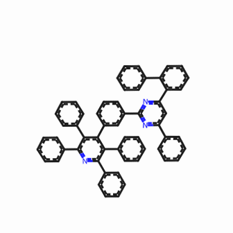 c1ccc(-c2cc(-c3ccccc3-c3ccccc3)nc(-c3cccc(-c4c(-c5ccccc5)c(-c5ccccc5)nc(-c5ccccc5)c4-c4ccccc4)c3)n2)cc1